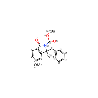 COc1ccc2c(c1)C(C)(Cc1ccccc1)N(C(=O)OC(C)(C)C)C2=O